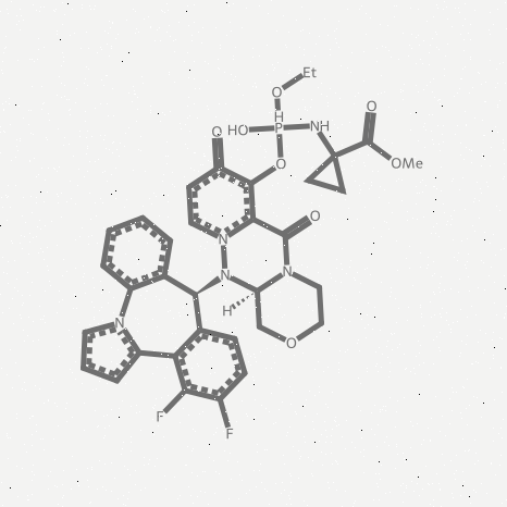 CCO[PH](O)(NC1(C(=O)OC)CC1)Oc1c2n(ccc1=O)N([C@@H]1c3ccccc3-n3cccc3-c3c1ccc(F)c3F)[C@@H]1COCCN1C2=O